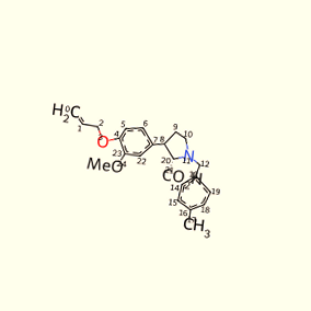 C=CCOc1ccc(C2CCN(Cc3ccc(C)cc3)[C@@H]2C(=O)O)cc1OC